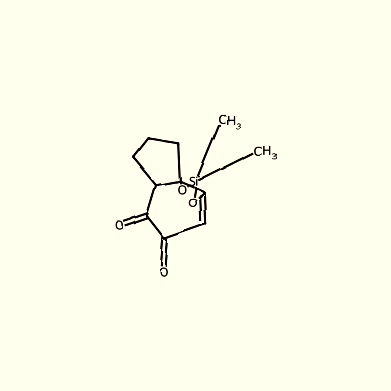 C[Si]1(C)OC2=CC(=O)C(=O)C3CCCC23O1